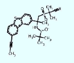 CC#Cc1ccc2sc3ccc(C(C)(CS(=O)(=O)C(C)(C)C#N)N[S@+]([O-])C(C)(C)C)cc3c2c1